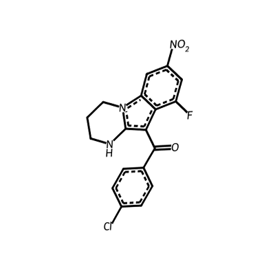 O=C(c1ccc(Cl)cc1)c1c2n(c3cc([N+](=O)[O-])cc(F)c13)CCCN2